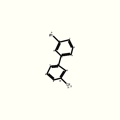 CC(C)c1cccc(-c2cccc(C(F)(F)F)c2)c1